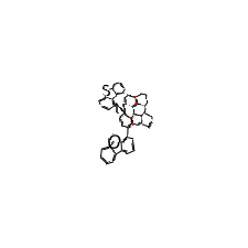 c1ccc(N(c2ccc(-c3cccc4c3oc3ccccc34)cc2)c2cccc3sc4ccccc4c23)c(-c2cccc3cccc(C4CCCCC4)c23)c1